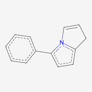 C1=Cn2c(ccc2-c2ccccc2)C1